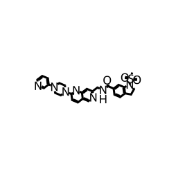 CS(=O)(=O)N1CCc2ccc(C(=O)NCc3cc4nc(N5CCN(c6cccnc6)CC5)ccc4cn3)cc21